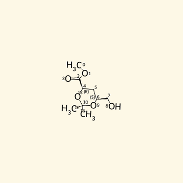 COC(=O)[C@H]1C[C@@H](CO)OC(C)(C)O1